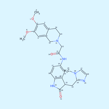 COc1cc2c(cc1OC)CN(CC(=O)Nc1ccc3c(c1)C(Cc1nccn1C)C(=O)N3)CC2